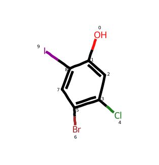 Oc1cc(Cl)c(Br)cc1I